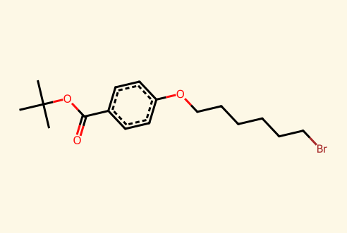 CC(C)(C)OC(=O)c1ccc(OCCCCCCBr)cc1